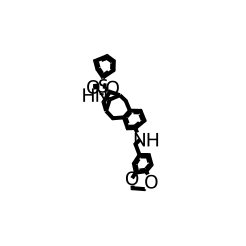 O=S(=O)(NC1C2CCC1Cc1cc(NCc3ccc4c(c3)OCCO4)ccc1C2)c1ccccc1